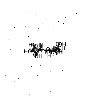 N[C@@H](CCCCNC(=O)CN1CCN(CC(=O)O)CCN(CC(=O)O)CCN(CC(O)O)CC1)C(=O)NCCCC[C@H](NC(=O)N[C@@H](CCC(=O)O)C(=O)O)C(=O)O